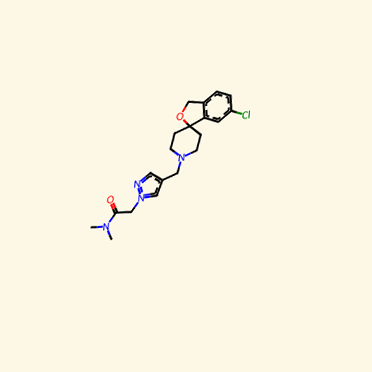 CN(C)C(=O)Cn1cc(CN2CCC3(CC2)OCc2ccc(Cl)cc23)cn1